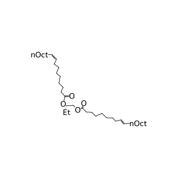 CCCCCCCC/C=C\CCCCCCCC(=O)O[C@@H](CC)COC(=O)CCCCCCC/C=C/CCCCCCCC